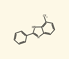 FC(F)(F)c1cccc2nc(-c3ccccc3)[nH]c12